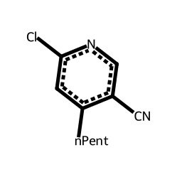 CCCCCc1cc(Cl)ncc1C#N